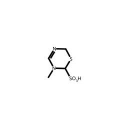 CN1C=NCSC1S(=O)(=O)O